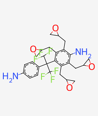 Nc1ccc(C(c2c(CC3CO3)c(CC3CO3)c(N)c(CC3CO3)c2CC2CO2)(C(F)(F)F)C(F)(F)F)cc1